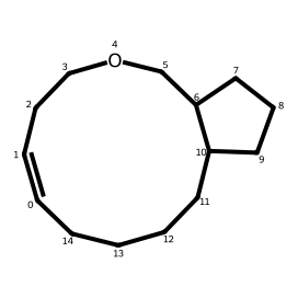 C1=CCCOCC2CCCC2CCCC1